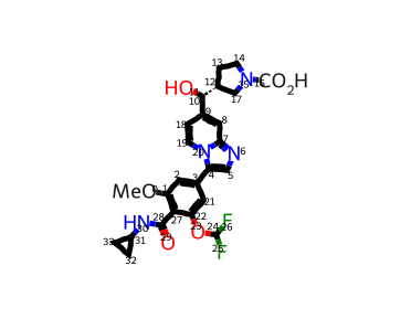 COc1cc(-c2cnc3cc(C(O)[C@@H]4CCN(C(=O)O)C4)ccn23)cc(OC(F)F)c1C(=O)NC1CC1